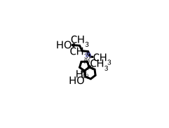 C/C(=C/CCC(C)(C)O)[C@H]1CC[C@H]2[C@@H](O)CCC[C@]12C